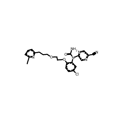 Cc1cccc(CCCOCCOc2ccc(Cl)cc2N(C(N)=O)c2cnc(C#N)cn2)n1